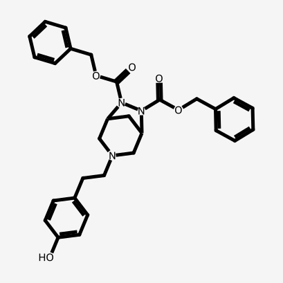 O=C(OCc1ccccc1)N1C2CC(CN(CCc3ccc(O)cc3)C2)N1C(=O)OCc1ccccc1